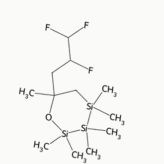 CC1(CC(F)C(F)F)C[Si](C)(C)[Si](C)(C)[Si](C)(C)O1